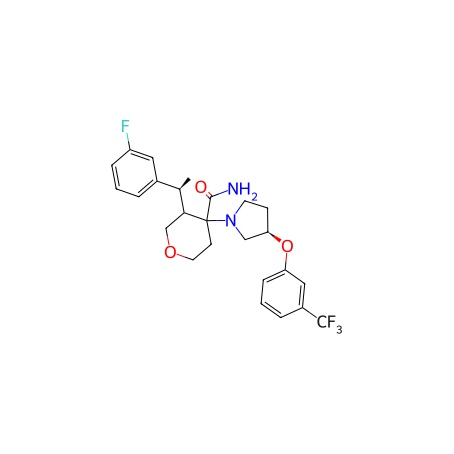 C[C@H](c1cccc(F)c1)C1COCCC1(C(N)=O)N1CC[C@@H](Oc2cccc(C(F)(F)F)c2)C1